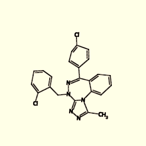 Cc1nnc2n1-c1ccccc1C(c1ccc(Cl)cc1)=NN2Cc1ccccc1Cl